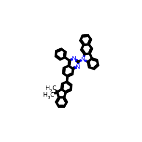 CC1(C)c2ccccc2-c2ccc(-c3ccc4c(-c5ccccc5)nc(-n5c6ccccc6c6cc7ccccc7cc65)nc4c3)cc21